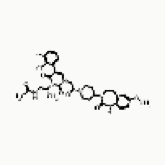 COc1ccc2c(c1)CCN(C1CCN(C(=O)Cn3cc(-c4cccc(F)c4Cl)c(=O)n([C@H](C)CNC(C)=O)c3=O)CC1)C(=O)N2